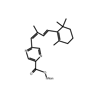 CCCCCCCCCOC(=O)c1cnc(C=C(C)C=CC2=C(C)CCCC2(C)C)cn1